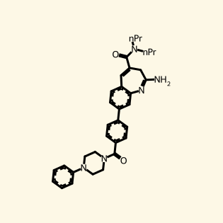 CCCN(CCC)C(=O)C1=Cc2ccc(-c3ccc(C(=O)N4CCN(c5ccccc5)CC4)cc3)cc2N=C(N)C1